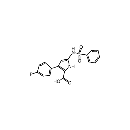 O=C(O)c1[nH]c(NS(=O)(=O)c2ccccc2)cc1-c1ccc(F)cc1